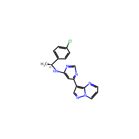 C[C@H](Nc1cc(-c2cnn3cccnc23)ncn1)c1ccc(Cl)cc1